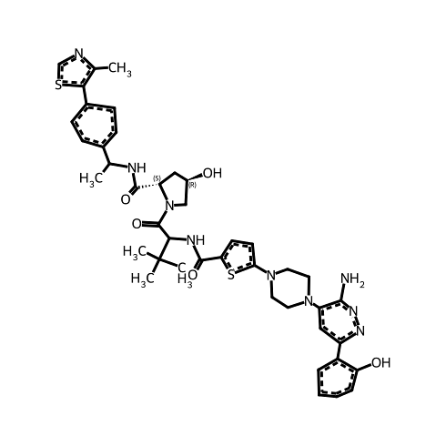 Cc1ncsc1-c1ccc(C(C)NC(=O)[C@@H]2C[C@@H](O)CN2C(=O)C(NC(=O)c2ccc(N3CCN(c4cc(-c5ccccc5O)nnc4N)CC3)s2)C(C)(C)C)cc1